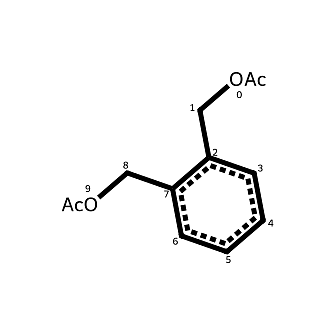 CC(=O)OCc1ccccc1COC(C)=O